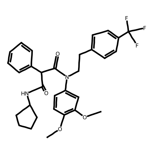 COc1ccc(N(CCc2ccc(C(F)(F)F)cc2)C(=O)C(C(=O)NC2CCCC2)c2ccccc2)cc1OC